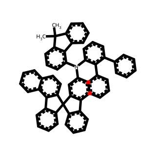 CC1(C)c2ccccc2-c2c(N(c3ccc4c(c3)C3(c5ccccc5-4)c4ccccc4-c4c3ccc3ccccc43)c3cccc(-c4ccccc4)c3-c3ccccc3)cccc21